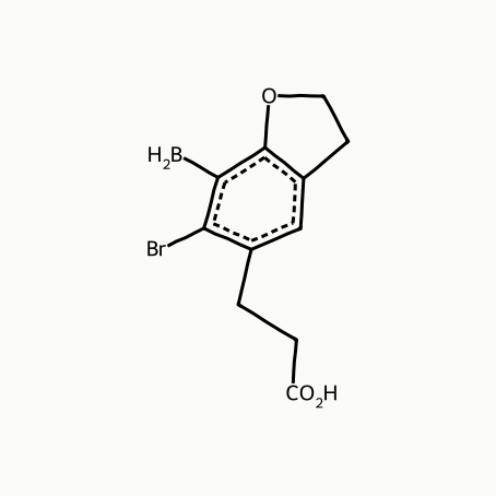 Bc1c(Br)c(CCC(=O)O)cc2c1OCC2